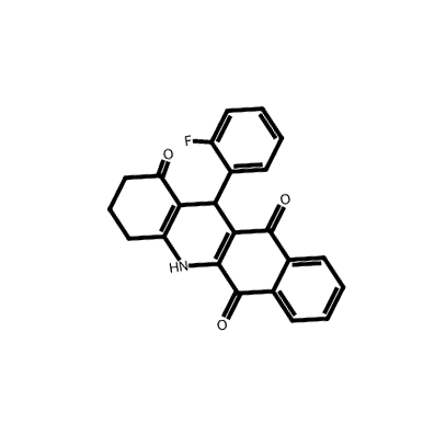 O=C1CCCC2=C1C(c1ccccc1F)C1=C(N2)C(=O)c2ccccc2C1=O